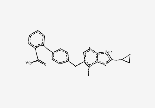 Cc1c(Cc2ccc(-c3ccccc3C(=O)O)cc2)cnc2[nH]c(C3CC3)nc12